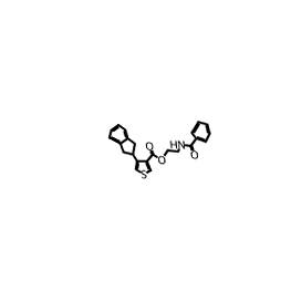 O=C(NCCOC(=O)c1cscc1C1Cc2ccccc2C1)c1ccccc1